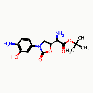 CC(C)(C)OC(=O)C(N)[C@@H]1CN(c2ccc(N)c(O)c2)C(=O)O1